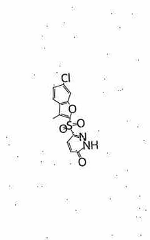 Cc1c(S(=O)(=O)c2ccc(=O)[nH]n2)oc2cc(Cl)ccc12